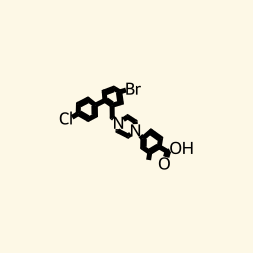 Cc1cc(N2CCN(Cc3cc(Br)ccc3-c3ccc(Cl)cc3)CC2)ccc1C(=O)O